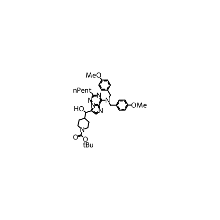 CCCCCc1nc(N(Cc2ccc(OC)cc2)Cc2ccc(OC)cc2)c2ncc(C(O)C3CCN(C(=O)OC(C)(C)C)CC3)n2n1